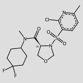 Cc1ccc(S(=O)(=O)N2COC[C@H]2C(=O)N(C)C2CCC(F)(F)CC2)c(Cl)n1